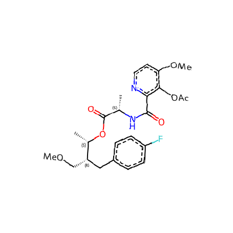 COC[C@@H](Cc1ccc(F)cc1)[C@H](C)OC(=O)[C@H](C)NC(=O)c1nccc(OC)c1OC(C)=O